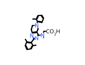 Cc1ccccc1N1CCc2nc(-c3c(C)cccc3C)nc(N(C)CC(=O)O)c2C1